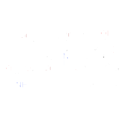 CNC(=O)OC(C)c1c(Br)cc(Br)c(Nc2ccc(O)c3c2C(=O)c2ccccc2C3=O)c1Br